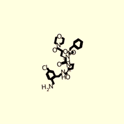 NCc1ccc(Cl)cc1CNC(=O)[C@@H]1CCN1C(=O)[C@@H](CCC(=O)N1CCOCC1)NS(=O)(=O)Cc1ccccc1